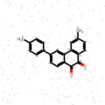 Cc1ccc(-c2ccc3c(c2)-c2cc(C)ccc2C(=O)C3=O)cc1